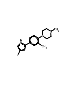 Cc1cc(-c2cc(I)c[nH]2)ccc1N1CCN(C)CC1